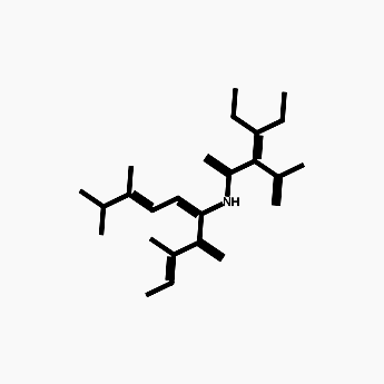 C=C(C)C(C(=C)N/C(=C/C=C(\C)C(C)C)C(=C)/C(C)=C/C)=C(CC)CC